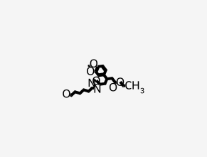 CCOC(=O)CC(Cc1nc(CCCCC=O)no1)c1ccc2c(c1)OCO2